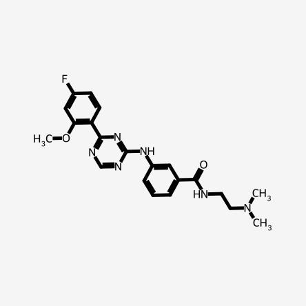 COc1cc(F)ccc1-c1ncnc(Nc2cccc(C(=O)NCCN(C)C)c2)n1